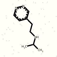 CC(C)NCCc1ccnnc1